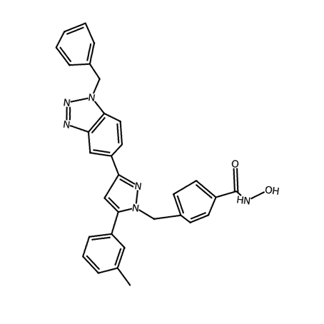 Cc1cccc(-c2cc(-c3ccc4c(c3)nnn4Cc3ccccc3)nn2Cc2ccc(C(=O)NO)cc2)c1